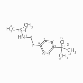 C[SH](C)NCCc1ccc(C(C)(C)C)cc1